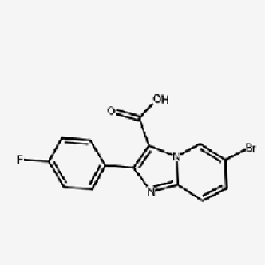 O=C(O)c1c(-c2ccc(F)cc2)nc2ccc(Br)cn12